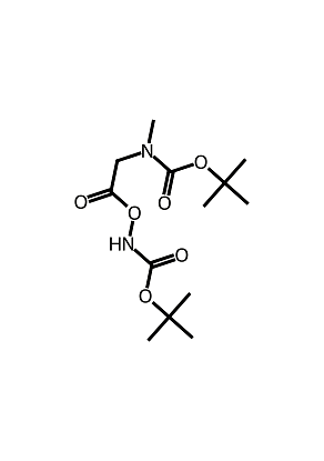 CN(CC(=O)ONC(=O)OC(C)(C)C)C(=O)OC(C)(C)C